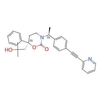 C[C@@H](c1ccc(C#Cc2ccccn2)cc1)N1CC[C@](CC(C)(C)O)(c2ccccc2)OC1=O